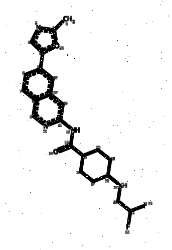 Cc1ncc(-c2ccc3cnc(NC(=O)C4CCC(NCC(F)F)CC4)cc3c2)o1